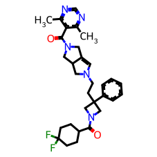 Cc1ncnc(C)c1C(=O)N1CC2=CN(CCC3(c4ccccc4)CN(C(=O)C4CCC(F)(F)CC4)C3)CC2C1